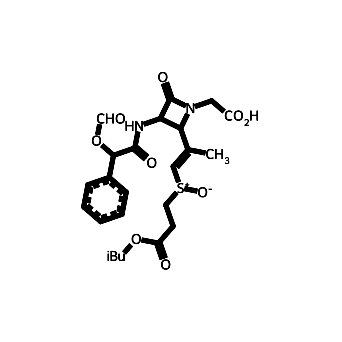 CCC(C)OC(=O)CC[S+]([O-])C=C(C)C1C(NC(=O)C(OC=O)c2ccccc2)C(=O)N1CC(=O)O